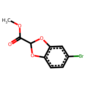 COC(=O)C1Oc2ccc(Br)cc2O1